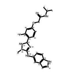 CC(C)NC(=O)COc1ccc(C2N=C(Nc3ccc4[nH]ncc4c3)N(C)N2)c(F)c1